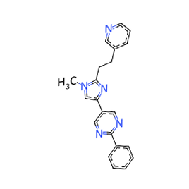 Cn1cc(-c2cnc(-c3ccccc3)nc2)nc1CCc1cccnc1